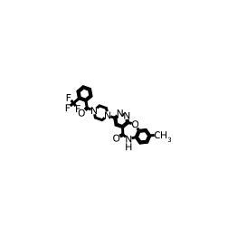 Cc1ccc2c(c1)Oc1nnc(N3CCN(C(=O)c4ccccc4C(F)(F)F)CC3)cc1C(=O)N2